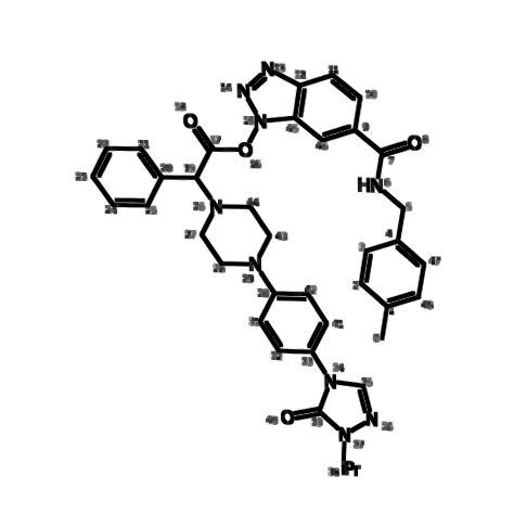 Cc1ccc(CNC(=O)c2ccc3nnn(OC(=O)C(c4ccccc4)N4CCN(c5ccc(-n6cnn(C(C)C)c6=O)cc5)CC4)c3c2)cc1